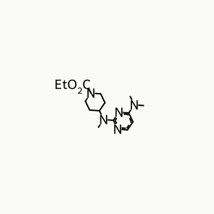 CCOC(=O)N1CCC(N(C)c2nccc(N(C)C)n2)CC1